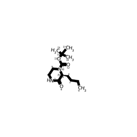 CCCC[C@H]1C(=O)NCCN1C(=O)OC(C)(C)C